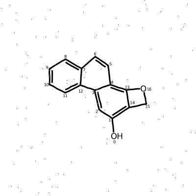 Oc1cc2c(ccc3ccccc32)c2c1CO2